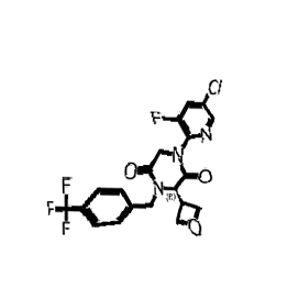 O=C1[C@@H](C2COC2)N(Cc2ccc(C(F)(F)F)cc2)C(=O)CN1c1ncc(Cl)cc1F